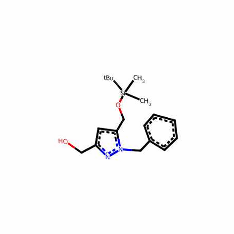 CC(C)(C)[Si](C)(C)OCc1cc(CO)nn1Cc1ccccc1